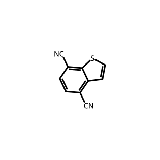 N#Cc1ccc(C#N)c2sccc12